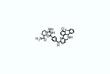 N=C(NC(=O)c1ccc(Nc2ncc3c(n2)-c2ccc(Cl)cc2C(c2ccccc2F)NC3)cc1)N1CCCC(C(N)=O)C1